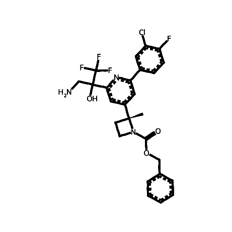 C[C@]1(c2cc(-c3ccc(F)c(Cl)c3)nc(C(O)(CN)C(F)(F)F)c2)CCN1C(=O)OCc1ccccc1